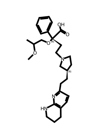 COC(C)CO[C@@](CCN1CC[C@@H](CCc2ccc3c(n2)NCCC3)C1)(C(=O)O)c1ccccc1